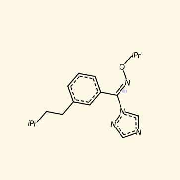 CC(C)CCc1cccc(/C(=N\OC(C)C)n2cncn2)c1